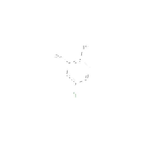 CC(C)c1ccc(Cl)cc1C(C)(C)C